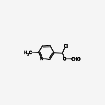 Cc1ccc(C(Cl)OC=O)cn1